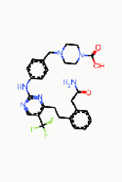 NC(=O)Cc1ccccc1CCc1nc(Nc2ccc(CN3CCN(C(=O)O)CC3)cc2)ncc1C(F)(F)F